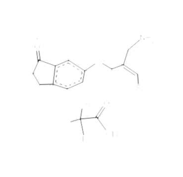 NC/C(=C/F)COc1ccc2c(c1)C(=O)CC2.O=C(O)C(F)(F)F